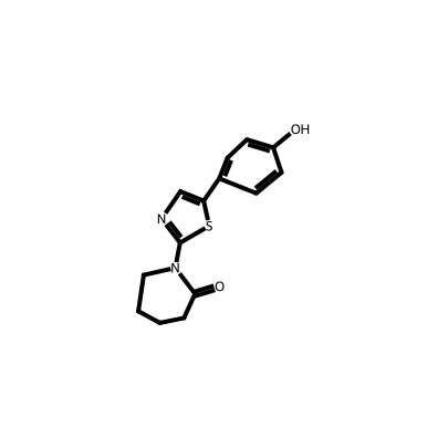 O=C1CCCCN1c1ncc(-c2ccc(O)cc2)s1